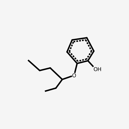 CCCC(CC)Oc1ccccc1O